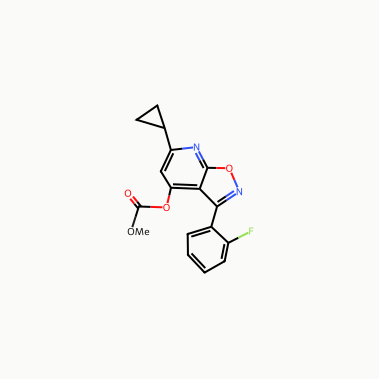 COC(=O)Oc1cc(C2CC2)nc2onc(-c3ccccc3F)c12